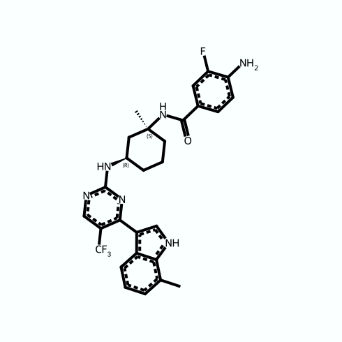 Cc1cccc2c(-c3nc(N[C@@H]4CCC[C@](C)(NC(=O)c5ccc(N)c(F)c5)C4)ncc3C(F)(F)F)c[nH]c12